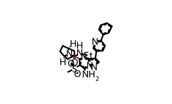 CCNC(=O)N1[C@@H]2CC[C@H]1C[C@@H](c1nc3c(-c4ccc(-c5ccccc5)nc4)cnn3c(N)c1S(C)(=O)=O)C2